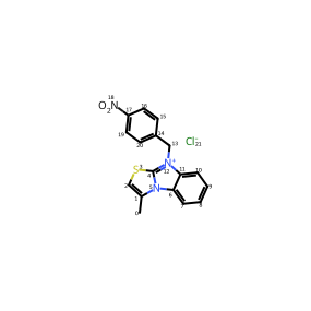 Cc1csc2n1c1ccccc1[n+]2Cc1ccc([N+](=O)[O-])cc1.[Cl-]